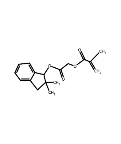 C=C(C)C(=O)OCC(=O)OC1c2ccccc2CC1(C)C